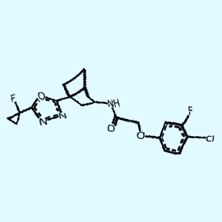 O=C(COc1ccc(Cl)c(F)c1)NC1CC2(c3nnc(C4(F)CC4)o3)CCC12